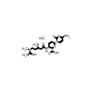 CN(CC[C@@H](N)CC(=O)N[C@H]1C=C[C@H](n2ccc(N)nc2=O)O[C@@H]1C(=O)O)C(=N)N.Cl